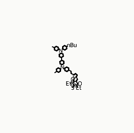 CCCCc1ccc(N(c2ccc(C)cc2)c2ccc(-c3ccc(N(c4ccc(C)cc4)c4ccc(/C=C/c5ccc(C=C6C(=O)N(CC)C(=S)N(CC)C6=O)s5)cc4)cc3)cc2)cc1